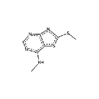 CNc1ncnc2nc(SC)sc12